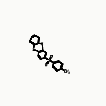 Cc1ccc(S(=O)(=O)c2ccc3c(c2)Sc2ccccc2S3)cc1